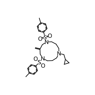 C=C1CN(S(=O)(=O)c2ccc(C)cc2)CCCN(CC2CC2)CCCN(S(=O)(=O)c2ccc(C)cc2)C1